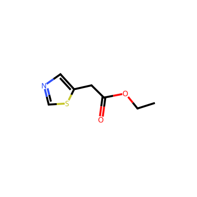 CCOC(=O)Cc1cncs1